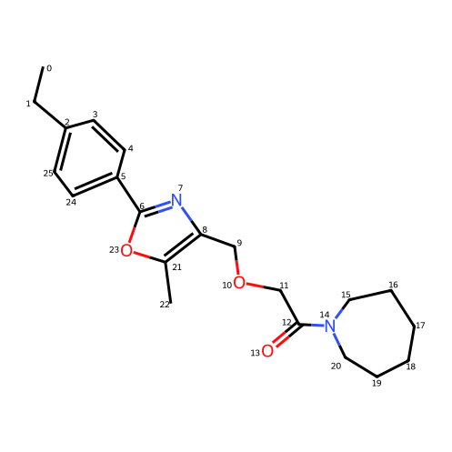 CCc1ccc(-c2nc(COCC(=O)N3CCCCCC3)c(C)o2)cc1